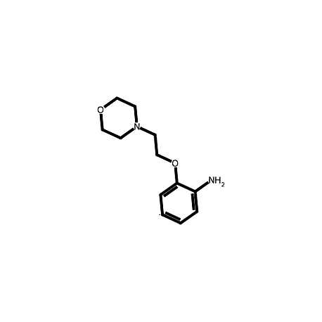 Nc1cc[c]cc1OCCN1CCOCC1